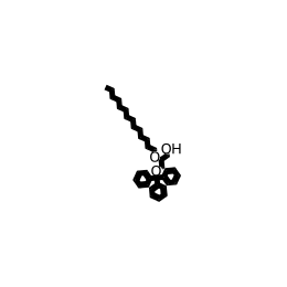 CCCCCCCCCCCCCCOC(CO)COC(c1ccccc1)(c1ccccc1)c1ccccc1